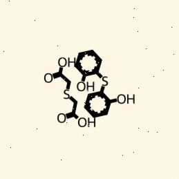 O=C(O)CSCC(=O)O.Oc1ccccc1Sc1ccccc1O